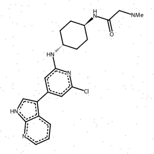 CNCC(=O)N[C@H]1CC[C@H](Nc2cc(-c3c[nH]c4ncccc34)cc(Cl)n2)CC1